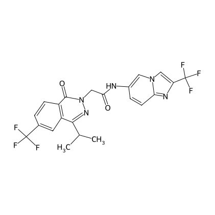 CC(C)c1nn(CC(=O)Nc2ccc3nc(C(F)(F)F)cn3c2)c(=O)c2ccc(C(F)(F)F)cc12